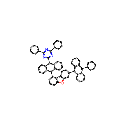 c1ccc(-c2nc(-c3ccccc3)nc(-c3c4ccccc4c(-c4cccc5oc6cc(-c7c8ccccc8c(-c8ccccc8)c8ccccc78)ccc6c45)c4ccccc34)n2)cc1